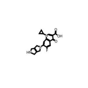 O=C(O)c1cn(C2CC2)c2cc(N3CC4=C(CNC4)C3)c(F)cc2c1=O